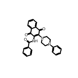 O=C(NC1=C(N2CCN(c3ccccc3)CC2)C(=O)c2ccccc2C1=O)c1ccccc1